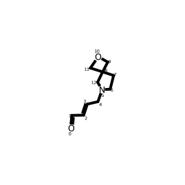 O=CC=CCN1CCC2(COC2)C1